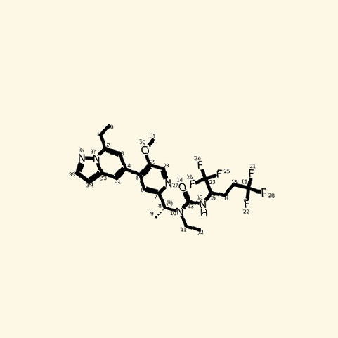 CCc1cc(-c2cc([C@@H](C)N(CC)C(=O)NC(CCC(F)(F)F)C(F)(F)F)ncc2OC)cc2ccnn12